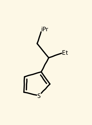 CCC(CC(C)C)c1ccsc1